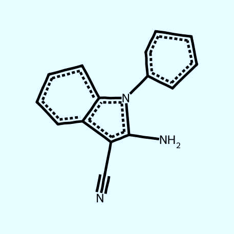 N#Cc1c(N)n(-c2ccccc2)c2ccccc12